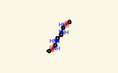 O=C(Nc1ccc(-c2nc3cc(-c4ccc5[nH]c(-c6ccc(NC(=O)Oc7ccccc7)cc6)nc5c4)ccc3[nH]2)cc1)Oc1ccccc1